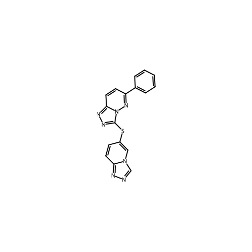 c1ccc(-c2ccc3nnc(Sc4ccc5nncn5c4)n3n2)cc1